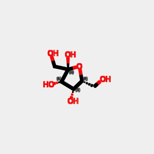 OC[C@H]1O[C@@](O)(CO)[C@@H](O)[C@H]1O